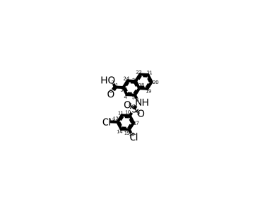 O=C(O)c1cc(NS(=O)(=O)c2cc(Cl)cc(Cl)c2)c2ccccc2c1